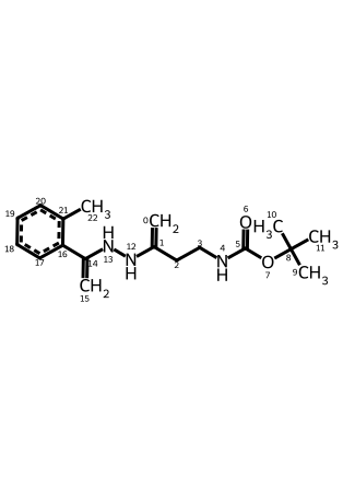 C=C(CCNC(=O)OC(C)(C)C)NNC(=C)c1ccccc1C